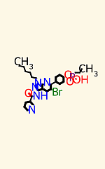 CCCCCCCn1nc(NC(=O)c2cccnc2)c2cc(Br)c(-c3ccc(OP(=O)(O)CCC)cc3)nc21